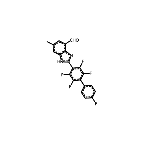 Cc1cc(C=O)c2nc(-c3c(F)c(F)c(-c4ccc(F)cc4)c(F)c3F)[nH]c2c1